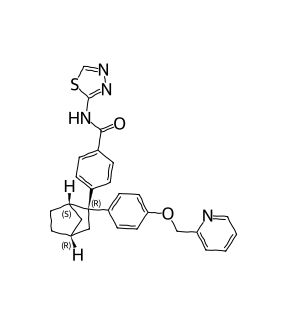 O=C(Nc1nncs1)c1ccc([C@@]2(c3ccc(OCc4ccccn4)cc3)C[C@@H]3CC[C@H]2C3)cc1